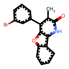 Cc1c(-c2cccc(Br)c2)c2oc3ccccc3c2[nH]c1=O